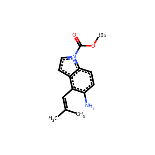 CC(C)=Cc1c(N)ccc2c1ccn2C(=O)OC(C)(C)C